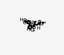 CCOC(=O)NCCC(NC)C(=O)Oc1ccccc1-c1cccc(C(=O)O)c1.Cl